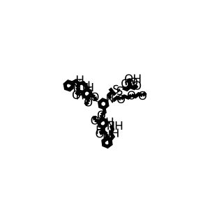 COCCOCCOCCN(CC(C)(C)SSCCC(C=O)S(=O)(=O)O)[C@@H]1CC(COC2=C(OC)C[C@H]3C(=O)N4C5=CCCC=C5C[C@H]4CN[C@H]3C2)C[C@H](COC2=C(OC)C[C@@H]3C(=O)N4C5=CCCC=C5C[C@H]4C=N[C@@H]3C2)C1